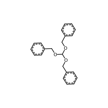 c1ccc(COC(OCc2ccccc2)OCc2ccccc2)cc1